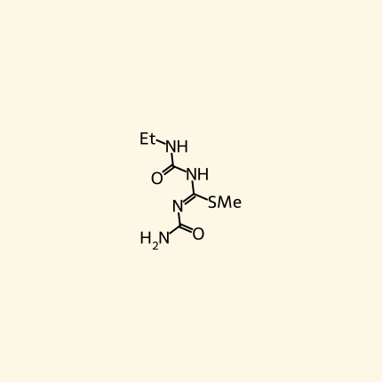 CCNC(=O)NC(=NC(N)=O)SC